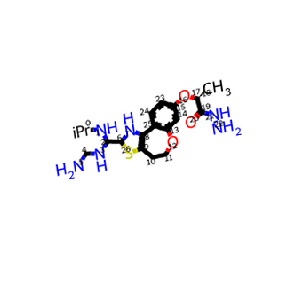 CC(C)NC(NCN)C1NC2=C(CCOc3cc(O[C@H](C)C(=O)NN)ccc32)S1